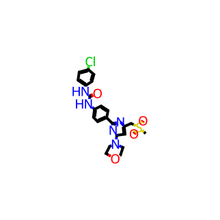 CS(=O)(=O)Cc1cc(N2CCOCC2)nc(-c2ccc(NC(=O)Nc3ccc(Cl)cc3)cc2)n1